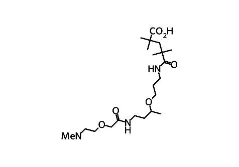 CNCCOCC(=O)NCCC(C)OCCCNC(=O)C(C)(C)CC(C)(C)C(=O)O